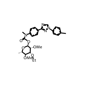 CCO[C@@H]1[C@@H](OC)[C@H](C)O[C@@H](OC(=O)N(C)c2ccc(-c3ncn(-c4ccc(C)cc4)n3)cc2)[C@@H]1OC